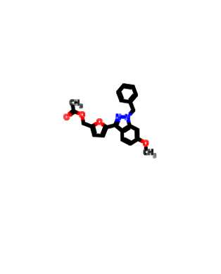 COc1ccc2c(-c3ccc(COC(C)=O)o3)nn(Cc3ccccc3)c2c1